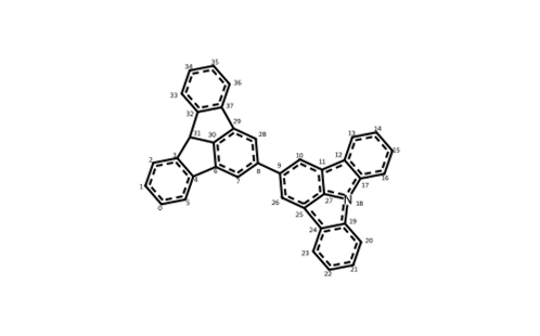 c1ccc2c(c1)-c1cc(-c3cc4c5ccccc5n5c6ccccc6c(c3)c45)cc3c1C2c1ccccc1-3